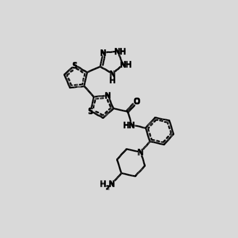 NC1CCN(c2ccccc2NC(=O)c2csc(-c3ccsc3C3=NNNN3)n2)CC1